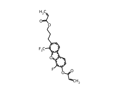 C=CC(=O)OCCCc1ccc2c(oc3c(F)c(OC(=O)C=C)ccc32)c1C(F)(F)F